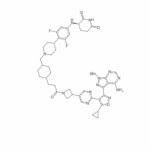 CC(C)(C)n1nc(-c2noc(C3CC3)c2-c2ncc(C3CN(C(=O)CCC4CCC(CN5CCC(c6c(F)cc(N[C@@H]7CCC(=O)NC7=O)cc6F)CC5)CC4)C3)cn2)c2c(N)ncnc21